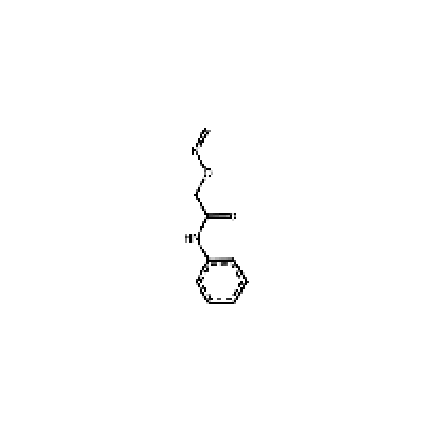 C=NOCC(=O)Nc1ccccc1